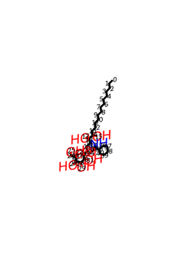 CCCCCCCCCCCCCCC(O)C(O)C(COC1OC(CO)C(O)C(O)C1O)NC(=O)C1CCCCC1